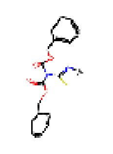 CN=C(S)N(C(=O)OCc1ccccc1)C(=O)OCc1ccccc1